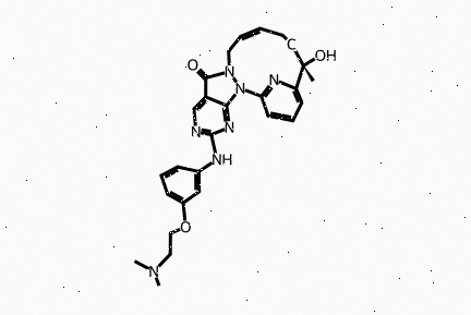 CN(C)CCOc1cccc(Nc2ncc3c(=O)n4n(c3n2)-c2cccc(n2)[C@@](C)(O)CC/C=C\C4)c1